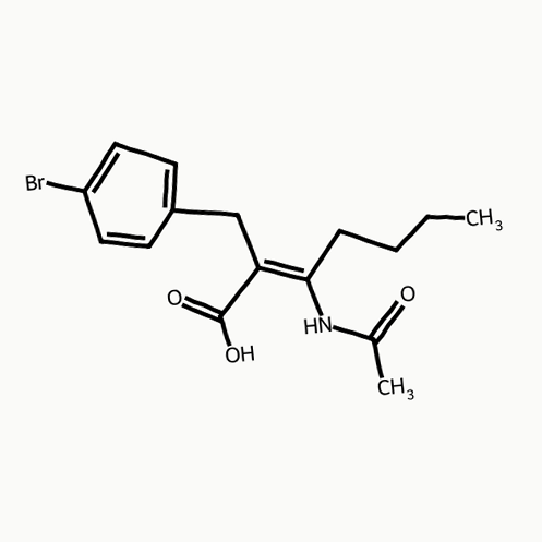 CCCC/C(NC(C)=O)=C(\Cc1ccc(Br)cc1)C(=O)O